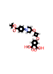 CC(C)(C)OC(=O)c1ccc(N2CCC(O[C@H]3C[C@H](Oc4ccc(C(=O)O)c(C(=O)O)c4)C3)CC2)cc1